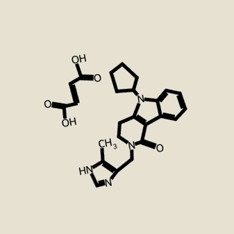 Cc1[nH]cnc1CN1CCc2c(c3ccccc3n2C2CCCC2)C1=O.O=C(O)C=CC(=O)O